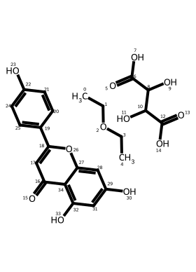 CCOCC.O=C(O)C(O)C(O)C(=O)O.O=c1cc(-c2ccc(O)cc2)oc2cc(O)cc(O)c12